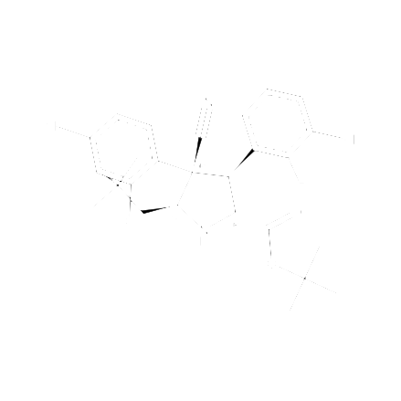 CC(C)(C)C[C@@H]1N[C@@H](C(=O)OC(C)(C)C)[C@H](c2cccc(Cl)c2F)[C@@]1(C#N)c1ccc(Cl)cc1Cl